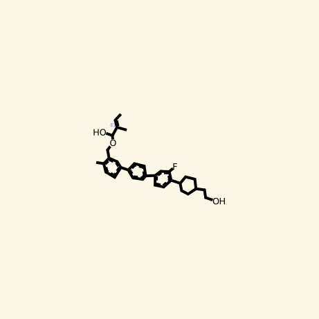 C/C=C(\C)C(O)OCc1cc(-c2ccc(-c3ccc(C4CCC(CCO)CC4)c(F)c3)cc2)ccc1C